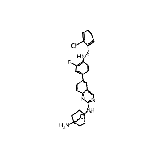 NC12CCC(Nc3ncc4cc(-c5ccc(NSc6ccccc6Cl)c(F)c5)ccc4n3)(CC1)CC2